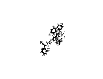 CC(C)(CCC(COCCC(C#N)c1ccccc1F)OS(=O)(=O)C(F)(F)F)[Si](O)(c1ccccc1)c1ccccc1